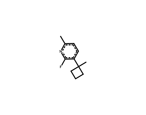 Cc1ccc(C2(C)CCC2)c(F)n1